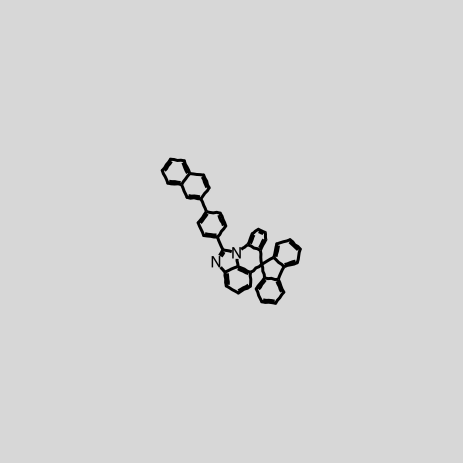 c1ccc2c(c1)-c1ccccc1C21c2ccccc2-n2c(-c3ccc(-c4ccc5ccccc5c4)cc3)nc3cccc1c32